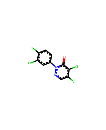 O=c1c(Cl)c(Cl)cnn1-c1ccc(Cl)c(Cl)c1